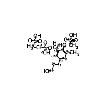 CS(=O)(=O)Cl.CS(=O)(=O)O.CS(=O)(=O)O.Cc1cc(CCCO)cc(C)c1O